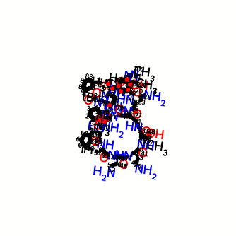 Cc1ccc(N(C(=O)Oc2c(CSSCC(=O)N[C@H](C(=O)N[C@H](CCN)C(=O)N[C@H]3CCNC(=O)[C@@H]([C@@H](C)O)NC(=O)[C@@H](CCN)NC(=O)[C@@H](CCN)NC(=O)[C@@H](CC(C)C)NC(=O)[C@@H](Cc4ccccc4)NC(=O)[C@@H](CCN)NC3=O)[C@@H](C)O)cccc2C(C)(C)C)c2nccc(N(C)c3ccc4c(C)n(C)nc4c3)n2)cc1S(N)(=O)=O